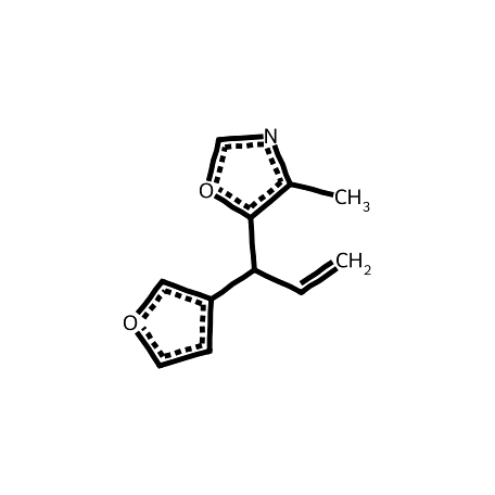 C=CC(c1ccoc1)c1ocnc1C